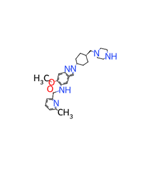 COc1cc2nn([C@H]3CC[C@H](CN4CCNCC4)CC3)cc2cc1NC(=O)c1cccc(C)n1